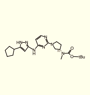 CN(C(=O)OC(C)(C)C)[C@H]1CCN(c2nccc(Nc3cc(C4CCCC4)[nH]n3)n2)C1